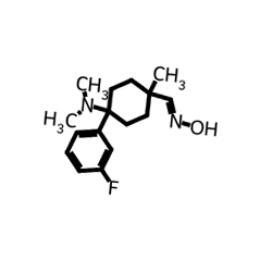 CN(C)C1(c2cccc(F)c2)CCC(C)(C=NO)CC1